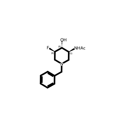 CC(=O)N[C@H]1CN(Cc2ccccc2)C[C@@H](F)[C@@H]1O